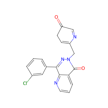 O=C1C=NC(Cn2nc(-c3cccc(Cl)c3)c3ncccc3c2=O)=CC1